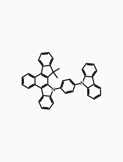 CC1(C)c2ccccc2-c2c1c1c(c3ccccc23)c2ccccc2n1-c1ccc(-n2c3ccccc3c3ccccc32)cc1